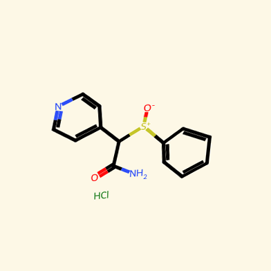 Cl.NC(=O)C(c1ccncc1)[S+]([O-])c1ccccc1